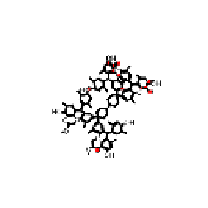 COC(=O)COc1c(C)cc(C2(c3cc(C)c(OCC(=O)OC)c(C(c4cc(C)c(O)cc4C)c4cc(C)c(O)cc4C)c3)CCC(C3CCC(c4cc(C)c(OCC(=O)OC)c(C(c5cc(C)c(O)cc5C)c5cc(C)c(O)cc5C)c4)(c4cc(C)c(OCC(=O)OC)c(C(c5cc(C)c(O)cc5C)c5cc(C)c(O)cc5C)c4)CC3)CC2)cc1C(c1cc(C)c(O)cc1C)c1cc(C)c(O)cc1C